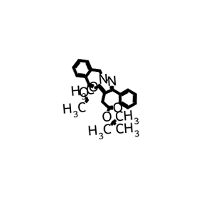 CCOC(=O)c1ccccc1Cn1nc(-c2ccccc2)c(CC(=O)OC(C)(C)C)c1C